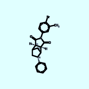 Cc1cc(N2C(=O)[C@@H]3C4CC([C@H](c5ccccc5)C4)[C@@H]3C2=O)ccc1Br